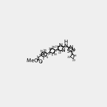 COC(=O)CC12CCC(c3ccc(-c4cnc(Nc5nnc(C6CCC6)s5)nc4)cc3)(CC1)CO2